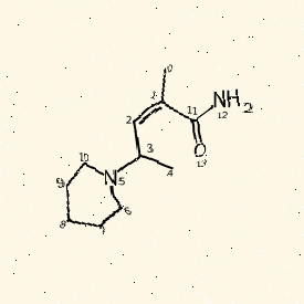 CC(=CC(C)N1CCCCC1)C(N)=O